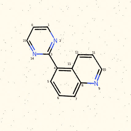 c1cnc(-c2cccc3ncccc23)nc1